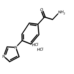 Cl.Cl.NCC(=O)c1ccc(-n2ccnc2)cc1